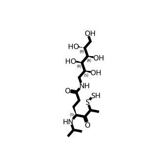 CC(C)N[C@@H](CCC(=O)NC[C@H](O)[C@@H](O)[C@H](O)[C@H](O)CO)C(=O)C(C)SS